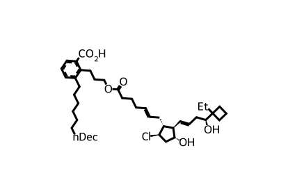 CCCCCCCCCCCCCCCCc1cccc(C(=O)O)c1CCCOC(=O)CCCC=CC[C@@H]1[C@@H](C=CC[C@H](O)C2(CC)CCC2)[C@H](O)C[C@H]1Cl